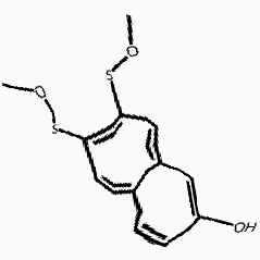 COSc1cc2ccc(O)cc2cc1SOC